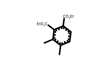 CCOC(=O)c1ccc(C)c(C)c1C(=O)OCC